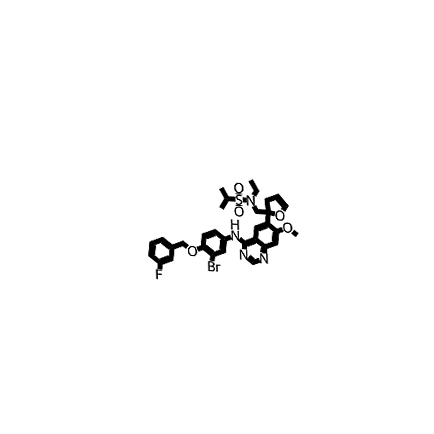 CCN(CC1(c2cc3c(Nc4ccc(OCc5cccc(F)c5)c(Br)c4)ncnc3cc2OC)CC=CO1)S(=O)(=O)C(C)C